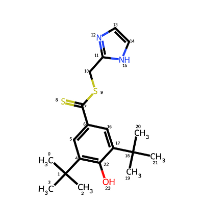 CC(C)(C)c1cc(C(=S)SCc2ncc[nH]2)cc(C(C)(C)C)c1O